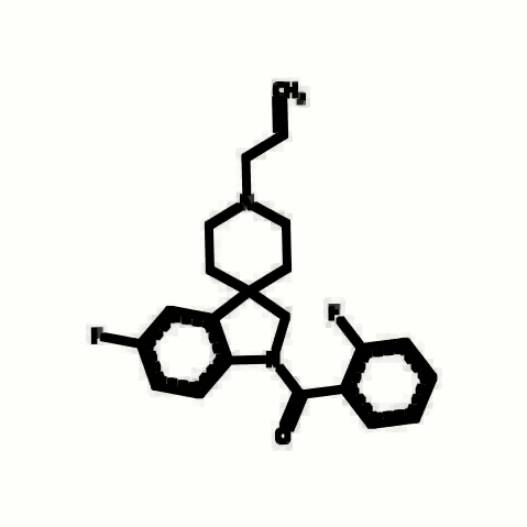 C=CCN1CCC2(CC1)CN(C(=O)c1ccccc1F)c1ccc(F)cc12